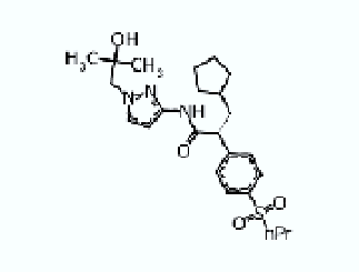 CCCS(=O)(=O)c1ccc([C@@H](CC2CCCC2)C(=O)Nc2ccn(CC(C)(C)O)n2)cc1